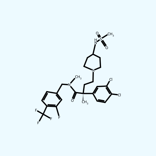 CN(Cc1ccc(C(F)(F)F)c(F)c1)C(=O)[C@@](C)(CCN1CCC(NS(C)(=O)=O)CC1)c1ccc(Cl)c(Cl)c1